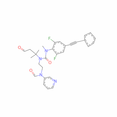 CN(C(=O)N(CCN(C=O)c1cccnc1)C(C)(C)CC=O)c1c(F)cc(C#Cc2ccccc2)cc1F